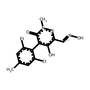 CCc1cc(C)cc(CC)c1-c1c(O)c(/C=N/O)nn(C)c1=O